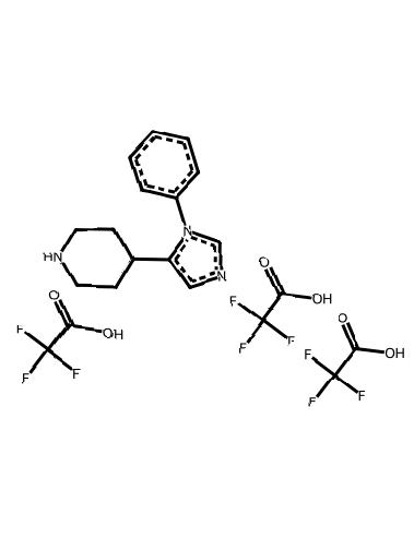 O=C(O)C(F)(F)F.O=C(O)C(F)(F)F.O=C(O)C(F)(F)F.c1ccc(-n2cncc2C2CCNCC2)cc1